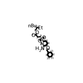 CCCCC(CC)COC(=O)CCS(=O)(=O)c1ccc(OCc2ccccc2)c(N)n1